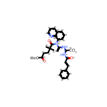 C=C(NC(NC(=O)/C=C/c1ccccc1)C(Cl)(Cl)Cl)N(C(=O)C(C)(C)CCC(=O)OC)c1cccc2cccnc12